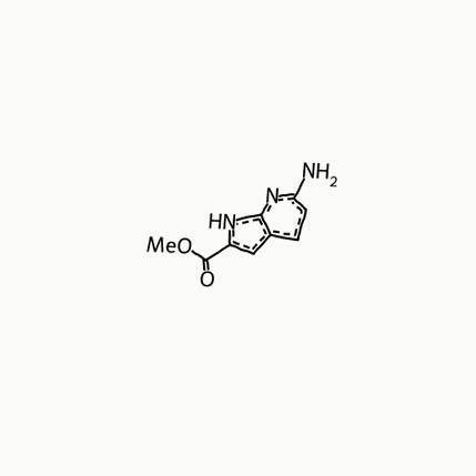 COC(=O)c1cc2ccc(N)nc2[nH]1